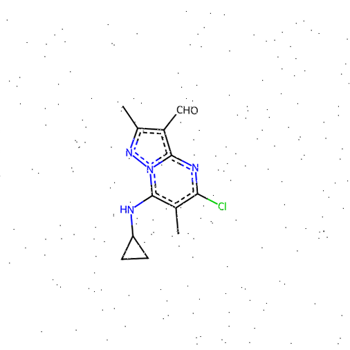 Cc1nn2c(NC3CC3)c(C)c(Cl)nc2c1C=O